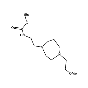 COCCN1CCCN(CCNC(=O)OC(C)(C)C)CC1